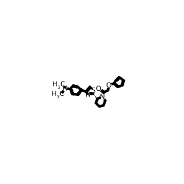 CN(C)c1ccc(-c2csc([C@H]3CCCCN3C(=O)COc3ccccc3)n2)cc1